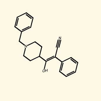 N#C/C(=C(/O)C1CCN(Cc2ccccc2)CC1)c1ccccc1